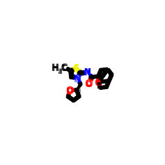 Cc1cn(C[C@H]2CCCO2)c(=NC(=O)C23CC4CC(CC(C4)O2)C3)s1